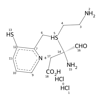 Cl.Cl.NCC[SH](Cc1ncccc1S)[C@](N)(C=O)CC(=O)O